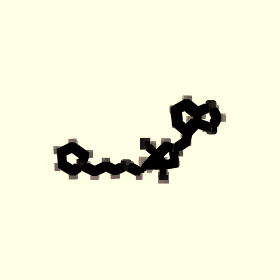 c1cc(CN2C[C@@H]3[C@H](COCCCN4CCCCC4)[C@@H]3C2)c2c(c1)OCO2